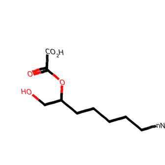 CCCCCCCCCCCCCCC(CO)OC(=O)C(=O)O